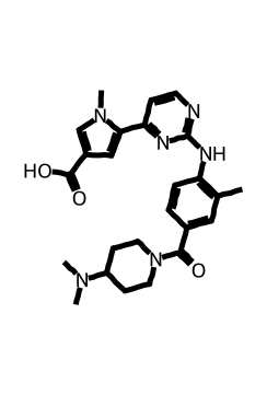 Cc1cc(C(=O)N2CCC(N(C)C)CC2)ccc1Nc1nccc(-c2cc(C(=O)O)cn2C)n1